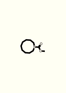 COC(=O)N1CCCCCCCCC1